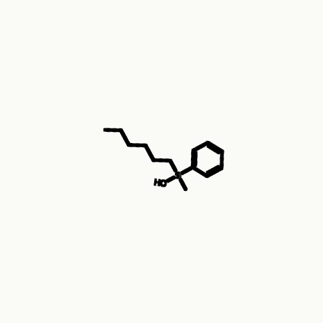 CCCCCC[Si](C)(O)c1ccccc1